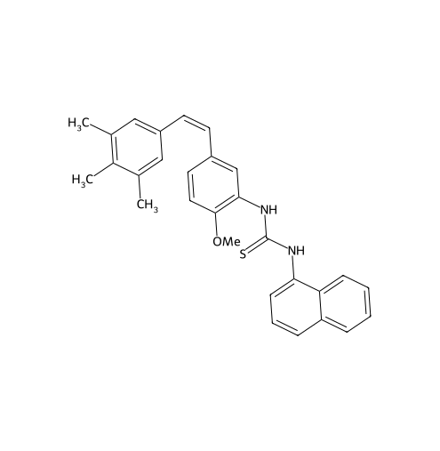 COc1ccc(/C=C\c2cc(C)c(C)c(C)c2)cc1NC(=S)Nc1cccc2ccccc12